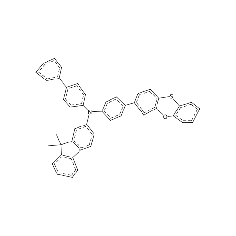 CC1(C)c2ccccc2-c2ccc(N(c3ccc(-c4ccccc4)cc3)c3ccc(-c4ccc5c(c4)Oc4ccccc4S5)cc3)cc21